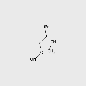 CC#N.CC(C)CCON=O